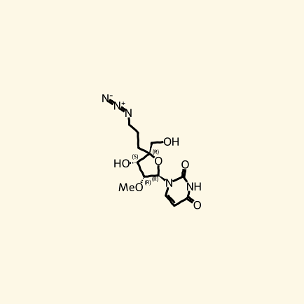 CO[C@H]1[C@H](n2ccc(=O)[nH]c2=O)O[C@@](CO)(CCCN=[N+]=[N-])[C@H]1O